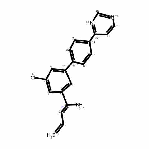 C=C/C=C(\N)c1cc(Cl)cc(-c2ccc(-c3ccncn3)cc2)c1